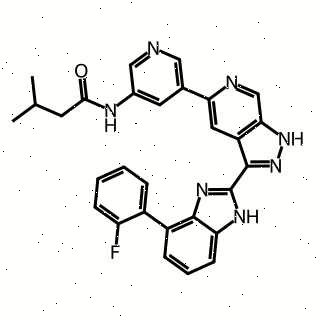 CC(C)CC(=O)Nc1cncc(-c2cc3c(-c4nc5c(-c6ccccc6F)cccc5[nH]4)n[nH]c3cn2)c1